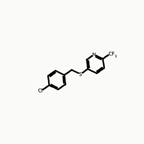 FC(F)(F)c1ccc(SCc2ccc(Cl)cc2)cn1